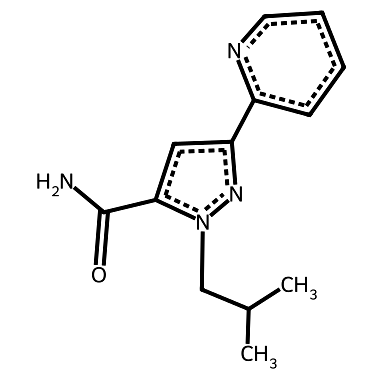 CC(C)Cn1nc(-c2ccccn2)cc1C(N)=O